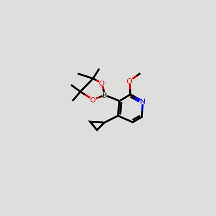 COc1nccc(C2CC2)c1B1OC(C)(C)C(C)(C)O1